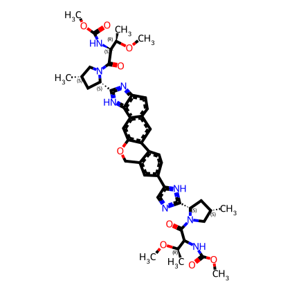 COC(=O)NC(C(=O)N1C[C@@H](C)C[C@H]1c1ncc(-c2ccc3c(c2)COc2cc4c(ccc5nc([C@@H]6C[C@H](C)CN6C(=O)[C@@H](NC(=O)OC)[C@@H](C)OC)[nH]c54)cc2-3)[nH]1)[C@@H](C)OC